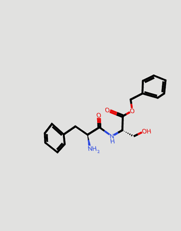 N[C@@H](Cc1ccccc1)C(=O)N[C@@H](CO)C(=O)OCc1ccccc1